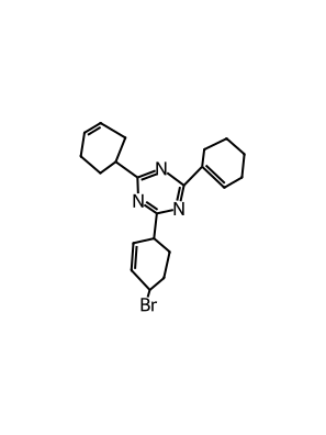 BrC1C=CC(c2nc(C3=CCCCC3)nc(C3CC=CCC3)n2)CC1